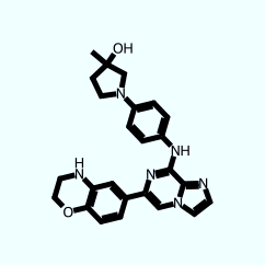 CC1(O)CCN(c2ccc(Nc3nc(-c4ccc5c(c4)NCCO5)cn4ccnc34)cc2)C1